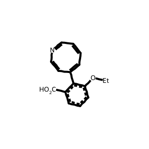 CCOc1cccc(C(=O)O)c1C1=C/C=C\C=N/C=C\1